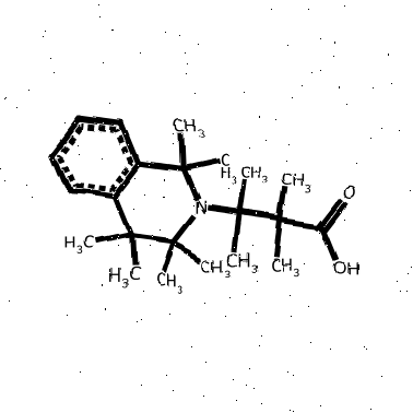 CC1(C)c2ccccc2C(C)(C)C(C)(C)N1C(C)(C)C(C)(C)C(=O)O